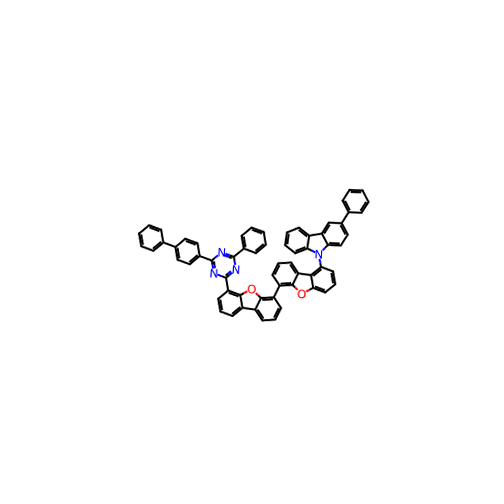 c1ccc(-c2ccc(-c3nc(-c4ccccc4)nc(-c4cccc5c4oc4c(-c6cccc7c6oc6cccc(-n8c9ccccc9c9cc(-c%10ccccc%10)ccc98)c67)cccc45)n3)cc2)cc1